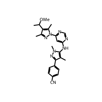 COC(C)c1c(C)nn(-c2cc(Nc3c(C)c(-c4ccc(C#N)cc4)nn3C)ncn2)c1C